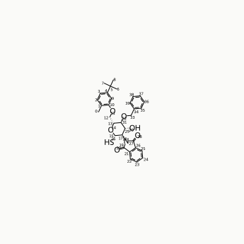 Cc1ccc(C(C)(C)C)cc1OC[C@H]1O[C@@H](S)[C@H](N2C(=O)c3ccccc3C2=O)[C@@H](O)[C@@H]1OCc1ccccc1